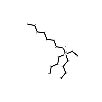 CCCCCCC[O][Sn]([CH2]C)([CH2]CCC)[CH2]CCC